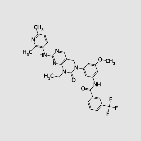 CCN1C(=O)N(c2cc(NC(=O)c3cccc(C(F)(F)F)c3)cc(OC)c2)Cc2cnc(Nc3ccc(C)nc3C)nc21